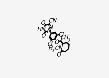 C[C@H](Oc1c(Cl)cc(-n2nc(C#N)c(=O)[nH]c2=O)cc1Cl)C1CCCCC(=O)N1C